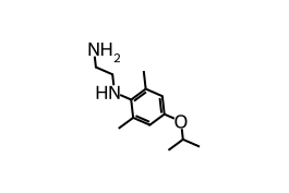 Cc1cc(OC(C)C)cc(C)c1NCCN